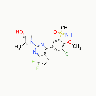 COc1c(Cl)cc(-c2nc(N3C[C@@H](O)[C@@H]3C)nc3c2CCC3(F)F)cc1S(C)(=N)=O